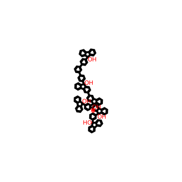 OC1(c2ccc(-c3cccc(-c4ccc(C5(O)c6ccccc6-c6cc(-c7ccc8c(c7)-c7ccccc7C8(O)c7cc(C8(O)c9ccccc9-c9ccccc98)ccc7Oc7ccc(C8(O)c9ccccc9-c9ccccc98)cc7C7(O)c8ccccc8-c8ccccc87)ccc65)cc4)c3)cc2)c2ccccc2-c2ccccc21